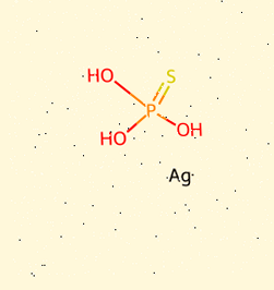 OP(O)(O)=S.[Ag]